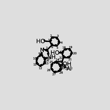 Oc1ccccc1-c1nc2ccccc2[nH]1.Oc1ccccc1C1c2cccc(c2O)[N]1[Al]